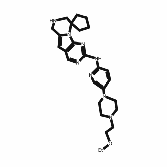 CCOCCN1CCN(c2ccc(Nc3ncc4cc5n(c4n3)C3(CCCC3)CNC5)nc2)CC1